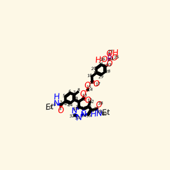 CCNC(=O)c1ccc(C)c(C(C(=O)OCOC(=O)Cc2ccc(OP(=O)(O)O)cc2)c2ncnn3cc(C(=O)NCC)c(C)c23)c1